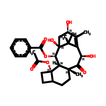 CC(=O)O[C@@]12CCC1CC[C@@]1(C)C(=O)[C@H](O)C3=C(C)[C@@H](O)C[C@@](O)([C@@H](OC(=O)c4ccccc4)[C@@H]12)C3(C)C